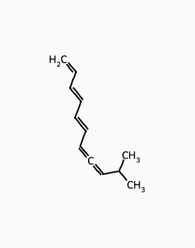 C=CC=CC=CC=C=CC(C)C